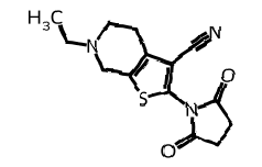 CCN1CCc2c(sc(N3C(=O)CCC3=O)c2C#N)C1